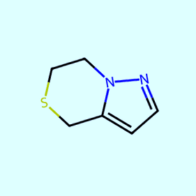 c1cc2n(n1)CCSC2